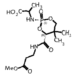 COC(=O)CCNC(=O)[C@@H]1O[P@](=O)(NC(C)C(=O)O)OCC1(C)C